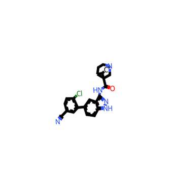 N#Cc1ccc(Cl)c(-c2ccc3[nH]nc(NC(=O)C4CN5CCC4CC5)c3c2)c1